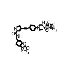 CC(C)NS(=O)(=O)N1CCN(c2ccc(C#Cc3ccnc(C(=O)NCc4ccc5c(c4)oc(=O)n5C)c3)cc2)CC1